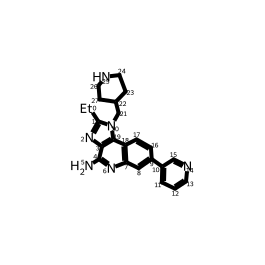 CCc1nc2c(N)nc3cc(-c4cccnc4)ccc3c2n1CC1CCNCC1